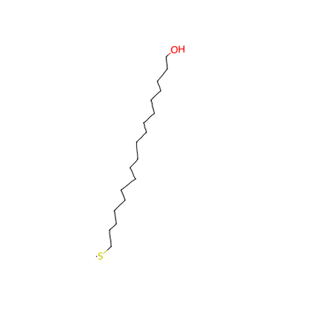 OCCCCCCCCCCCCCCCCCC[S]